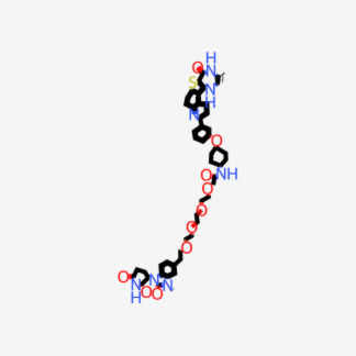 C[C@@H]1CNc2c(sc3ccc4nc(-c5cccc(OC6CCC(NC(=O)COCCOCCOCCOCCc7ccc8c(c7)n(C)c(=O)n8C7CCC(=O)NC7=O)CC6)c5)ccc4c23)C(=O)N1